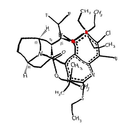 CCSc1nc(N2C[C@H]3CC[C@@H]([C@H]2[C@H](O[Si](CC)(CC)CC)C(F)F)N3C(=O)OC(C)(C)C)c2c(Br)nc(Cl)c(F)c2n1